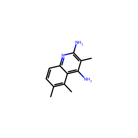 Cc1ccc2nc(N)c(C)c(N)c2c1C